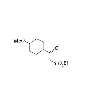 CCOC(=O)CC(=O)C1CCC(OC)CC1